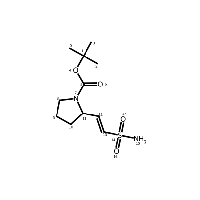 CC(C)(C)OC(=O)N1CCCC1C=CS(N)(=O)=O